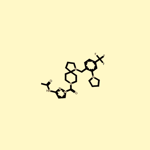 CC(=O)Nc1ccn(C(=O)N2CCC3(CCCN3Cc3ccc(C(F)(F)F)cc3N3CCCC3)CC2)n1